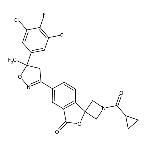 O=C1OC2(CN(C(=O)C3CC3)C2)c2ccc(C3=NOC(c4cc(Cl)c(F)c(Cl)c4)(C(F)(F)F)C3)cc21